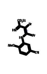 CCOC(=O)C(=N)/C(Br)=C(\Nc1cc(C#N)ccc1OC)C(C)C